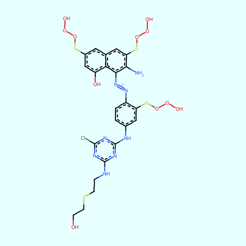 Nc1c(SOOO)cc2cc(SOOO)cc(O)c2c1/N=N/c1ccc(Nc2nc(Cl)nc(NCCSCCO)n2)cc1SOOO